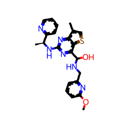 COc1cccc(CNC(O)c2nc(N[C@@H](C)c3ccccn3)nc3c(C)csc23)n1